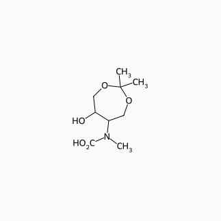 CN(C(=O)O)C1COC(C)(C)OCC1O